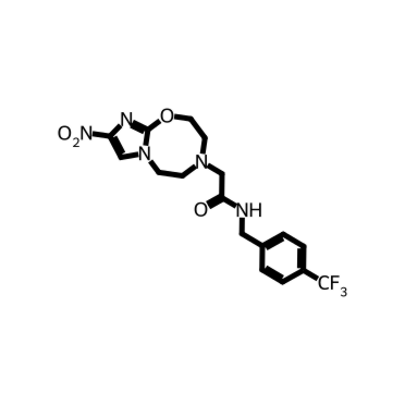 O=C(CN1CCOc2nc([N+](=O)[O-])cn2CC1)NCc1ccc(C(F)(F)F)cc1